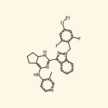 CCOc1cc(F)c(Cn2nc(C3=NC(Nc4ccncc4C)=C4CCCC4N3)c3ccccc32)c(F)c1